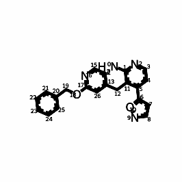 Nc1nccc(-c2ccno2)c1Cc1ccnc(OCc2ccccc2)c1